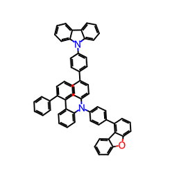 c1ccc(-c2ccccc2-c2ccccc2N(c2ccc(-c3ccc(-n4c5ccccc5c5ccccc54)cc3)cc2)c2ccc(-c3cccc4oc5ccccc5c34)cc2)cc1